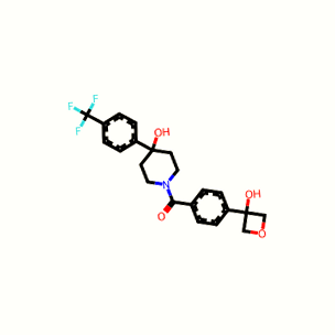 O=C(c1ccc(C2(O)COC2)cc1)N1CCC(O)(c2ccc(C(F)(F)F)cc2)CC1